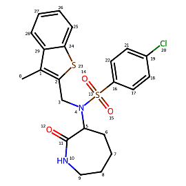 Cc1c(CN(C2CCCCNC2=O)S(=O)(=O)c2ccc(Cl)cc2)sc2ccccc12